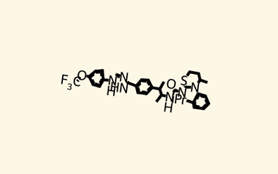 CC(C)c1ccccc1N1/C(=N/C(=O)NC(C)C(C)c2ccc(C(=N)/N=C\Nc3ccc(OC(F)(F)F)cc3)cc2)SCCC1C